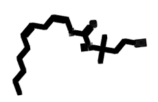 CCCCC/C=C\C/C=C\SC(=O)NC(C)(C)CCO